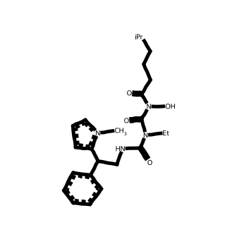 CCN(C(=O)NCC(c1ccccc1)c1cccn1C)C(=O)N(O)C(=O)CCCC(C)C